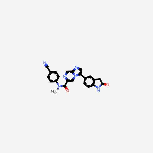 CN(C(=O)c1cn2c(-c3ccc4c(c3)CC(=O)N4)cnc2cn1)c1ccc(C#N)cc1